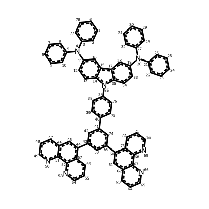 c1ccc(N(c2ccccc2)c2ccc3c(c2)c2cc(N(c4ccccc4)c4ccccc4)ccc2n3-c2ccc(-c3cc(-c4cc5cccnc5c5ncccc45)cc(-c4cc5cccnc5c5ncccc45)c3)cc2)cc1